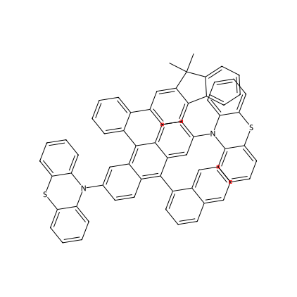 CC1(C)c2ccccc2-c2ccc(-c3ccccc3-c3c4cc(N5c6ccccc6Sc6ccccc65)ccc4c(-c4cccc5ccccc45)c4cc(N5c6ccccc6Sc6ccccc65)ccc34)cc21